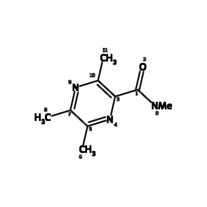 CNC(=O)c1nc(C)c(C)nc1C